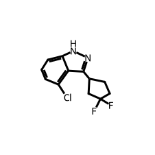 FC1(F)CCC(c2n[nH]c3cccc(Cl)c23)C1